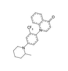 CC1CCCCN1c1ccc(-n2ccc(=O)c3ccccc32)c(C(F)(F)F)c1